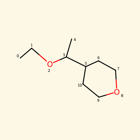 CCOC(C)C1CCOCC1